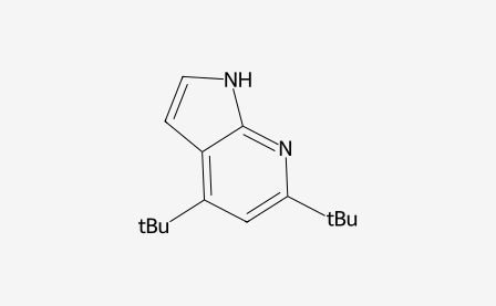 CC(C)(C)c1cc(C(C)(C)C)c2cc[nH]c2n1